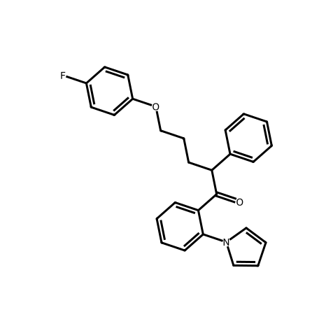 O=C(c1ccccc1-n1cccc1)C(CCCOc1ccc(F)cc1)c1ccccc1